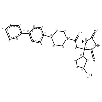 O=C1NC(=O)C(CC(=O)N2CCC(c3ccc(-c4ccccc4)cc3)CC2)(C2CCC(O)C2)N1